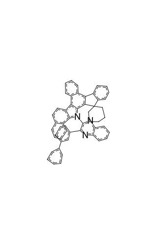 c1ccc(-c2cccc(-c3nc4ccccc4nc3-n3c4c5c(c6ccccc6c4c4ccc6ccccc6c43)-c3ccccc3C53CCCCC3)c2)cc1